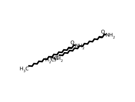 C=C.CCCCCCCCCCCCCCCCCC=CC(N)=O.CCCCCCCCCCCCCCCCCC=CC(N)=O